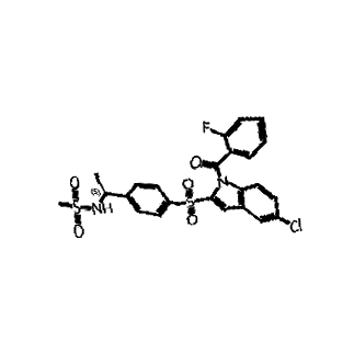 C[C@H](NS(C)(=O)=O)c1ccc(S(=O)(=O)c2cc3cc(Cl)ccc3n2C(=O)c2ccccc2F)cc1